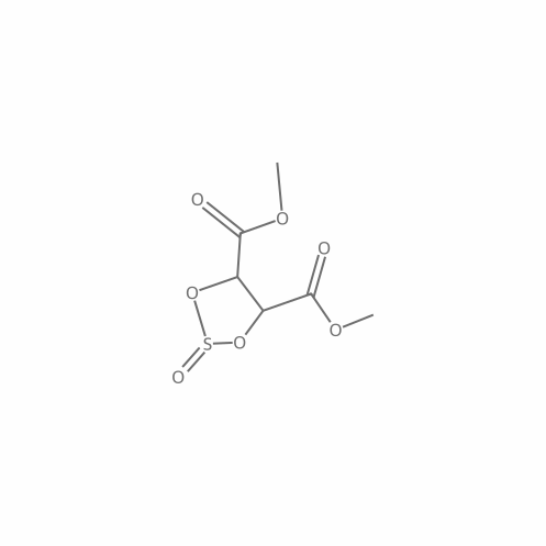 COC(=O)C1OS(=O)OC1C(=O)OC